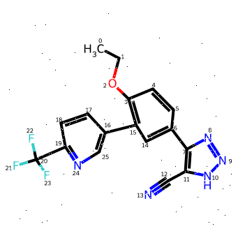 CCOc1ccc(-c2nn[nH]c2C#N)cc1-c1ccc(C(F)(F)F)nc1